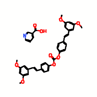 COc1cc(C=Cc2ccc(OC(=O)Oc3ccc(C=Cc4cc(OC)cc(OC)c4)cc3)cc2)cc(OC)c1.O=C(O)c1cccnc1